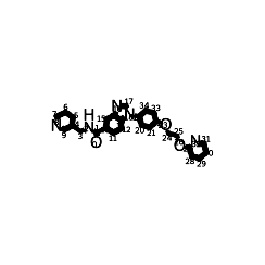 O=C(NCc1cccnc1)c1ccc2c(c1)ncn2-c1ccc(OCCOc2ccccn2)cc1